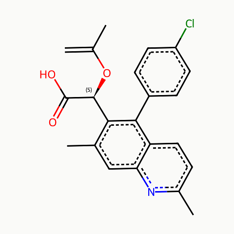 C=C(C)O[C@H](C(=O)O)c1c(C)cc2nc(C)ccc2c1-c1ccc(Cl)cc1